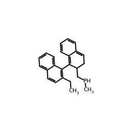 CCc1ccc2ccccc2c1C1=c2ccccc2=CCC1CPC